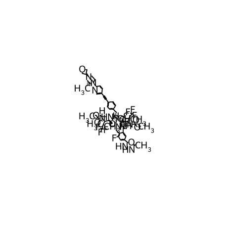 COC(=O)NC(C(=O)N[C@@H](Cc1ccc(C#Cc2ccc(N3CCN(C4COC4)C[C@H]3C)nc2)cc1)[C@@H](O)CN(Cc1c(F)cc(C(=N)OC(C)=N)cc1F)NC(=O)[C@@H](NC(=O)OC)C(C)(C)C(F)(F)F)C(C)(C)C(F)(F)F